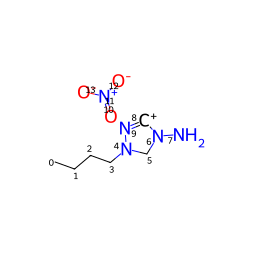 CCCCN1CN(N)[C+]=N1.O=[N+]([O-])[O-]